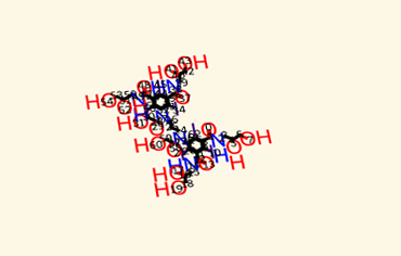 O=C(NCC(O)CO)c1c(I)c(C(=O)NCC(O)CO)c(I)c(N(CCCN(C(=O)CO)c2c(I)c(C(=O)NCC(O)CO)c(I)c(C(=O)NCC(O)CO)c2I)C(=O)CO)c1I